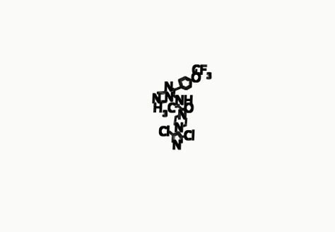 CC(Nc1c(-c2ccc(OC(F)(F)F)cc2)nc2cnccn12)C(=O)N1CCN(c2c(Cl)cncc2Cl)CC1